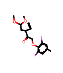 C=CC(CC(OC)OC)C(=O)COc1c(I)cc(C)cc1I